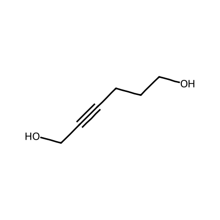 OCC#CCCCO